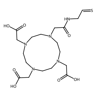 O=C(O)CN1CCN(CC(=O)O)CCN(CC(=O)NCC=S)CCN(CC(=O)O)CC1